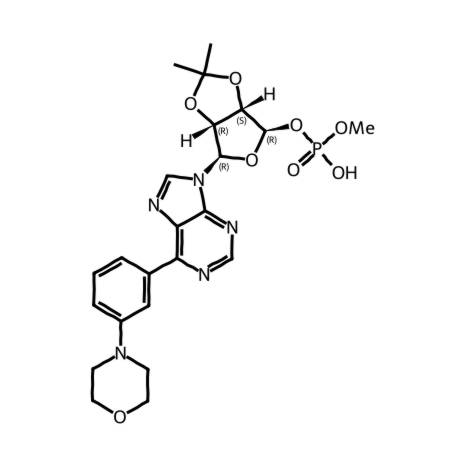 COP(=O)(O)O[C@H]1O[C@@H](n2cnc3c(-c4cccc(N5CCOCC5)c4)ncnc32)[C@@H]2OC(C)(C)O[C@H]12